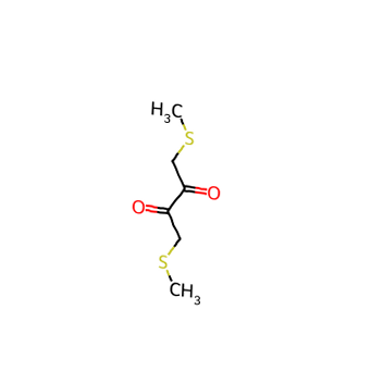 CSCC(=O)C(=O)CSC